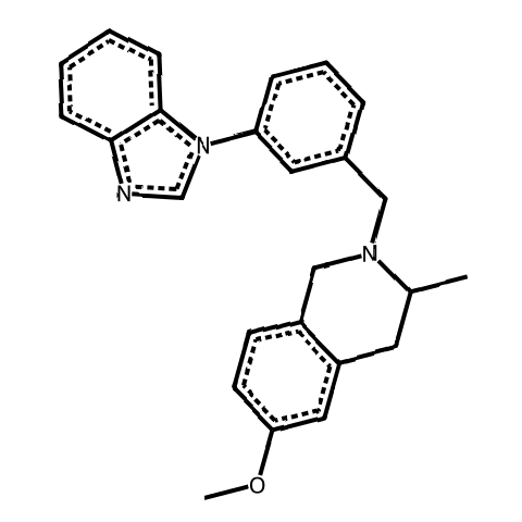 COc1ccc2c(c1)CC(C)N(Cc1cccc(-n3cnc4ccccc43)c1)C2